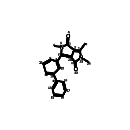 CC1=C2C(=O)N(C)C(c3cccc(-c4ccccc4)c3)=C2C(=O)N1C